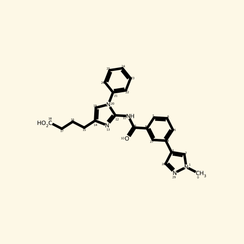 Cn1cc(-c2cccc(C(=O)Nc3nc(CCCC(=O)O)cn3-c3ccccc3)c2)cn1